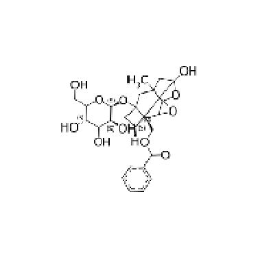 CC12CC3(O)OC14OC4[C@]1(COC(=O)c4ccccc4)[C@@H]3CC1(O[C@@H]1OC(CO)[C@@H](O)C(O)[C@@H]1O)C2